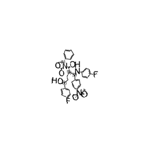 O=C1OC[C@H](c2ccccc2)N1C(=O)[C@H](CC[C@H](O)c1ccc(F)cc1)[C@H](Nc1ccc(F)cc1)c1ccc([N+](=O)[O-])cc1